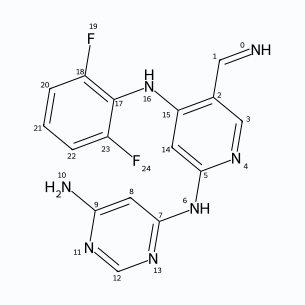 N=Cc1cnc(Nc2cc(N)ncn2)cc1Nc1c(F)cccc1F